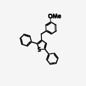 COc1cccc(Cc2cc(-c3ccccc3)sc2-c2ccccc2)c1